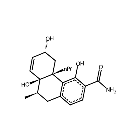 CCC[C@]12C[C@@H](O)C=C[C@@]1(O)[C@H](C)Cc1ccc(C(N)=O)c(O)c12